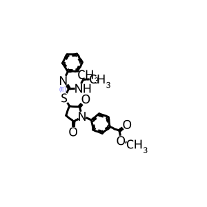 COC(=O)c1ccc(N2C(=O)CC(S/C(=N/c3ccccc3)NC(C)C)C2=O)cc1